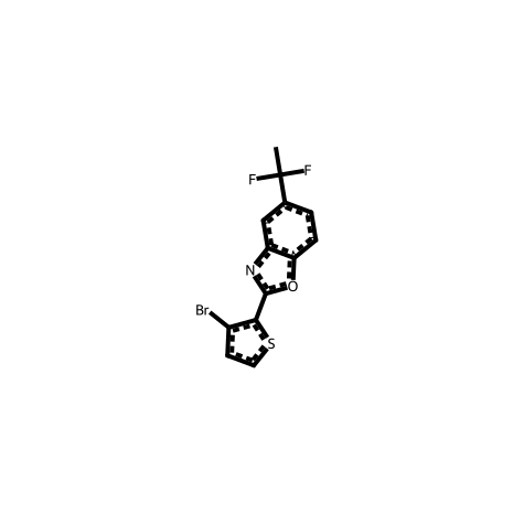 CC(F)(F)c1ccc2oc(-c3sccc3Br)nc2c1